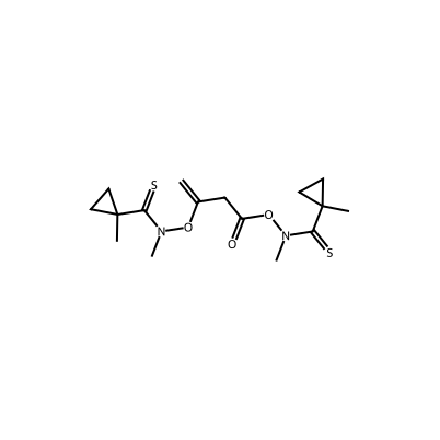 C=C(CC(=O)ON(C)C(=S)C1(C)CC1)ON(C)C(=S)C1(C)CC1